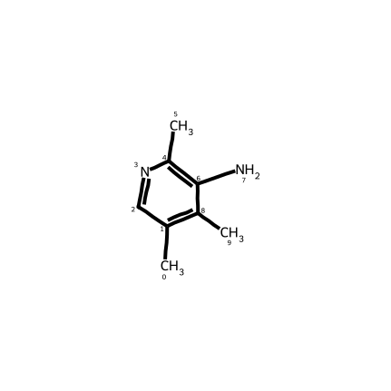 Cc1cnc(C)c(N)c1C